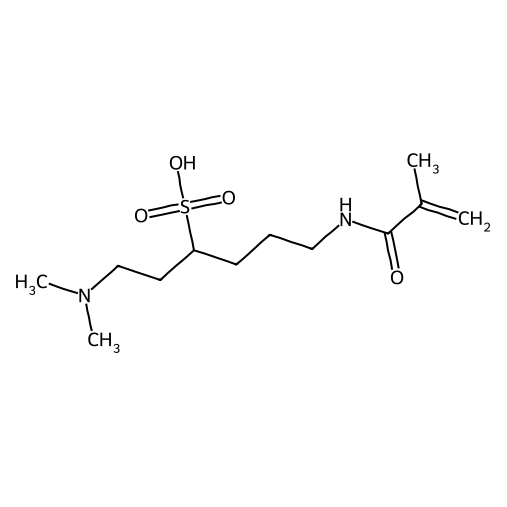 C=C(C)C(=O)NCCCC(CCN(C)C)S(=O)(=O)O